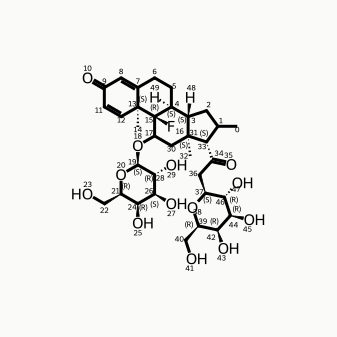 CC1C[C@H]2[C@@H]3CCC4=CC(=O)C=C[C@]4(C)[C@@]3(F)C(O[C@@H]3O[C@H](CO)[C@H](O)[C@H](O)[C@H]3O)C[C@]2(C)[C@H]1C(=O)C[C@@H]1O[C@H](CO)[C@H](O)[C@H](O)[C@H]1O